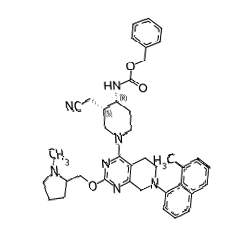 Cc1cccc2cccc(N3CCc4c(nc(OCC5CCCN5C)nc4N4CC[C@@H](NC(=O)OCc5ccccc5)[C@@H](CC#N)C4)C3)c12